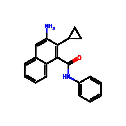 Nc1cc2ccccc2c(C(=O)Nc2ccccc2)c1C1CC1